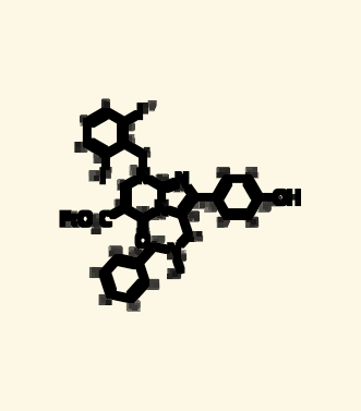 CCOC(=O)c1cn(Cc2c(F)cccc2F)c2nc(-c3ccc(O)cc3)c(CN(C)Cc3ccccc3)n2c1=O